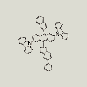 c1ccc(-c2ccc3cc(-c4c5ccc(-n6c7ccccc7c7ccccc76)cc5c(-c5ccc6ccccc6c5)c5ccc(-n6c7ccccc7c7ccccc76)cc45)ccc3c2)cc1